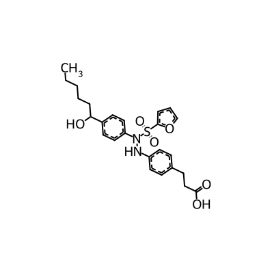 CCCCCC(O)c1ccc(N(Nc2ccc(CCC(=O)O)cc2)S(=O)(=O)c2ccco2)cc1